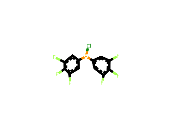 Fc1cc(P(Cl)c2cc(F)c(F)c(F)c2)cc(F)c1F